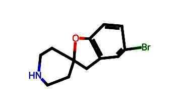 Brc1ccc2c(c1)CC1(CCNCC1)O2